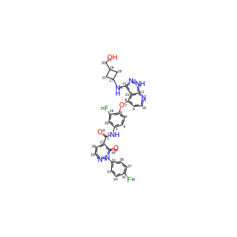 O=C(Nc1ccc(Oc2ccnc3[nH]nc(NC4CC(CO)C4)c23)c(F)c1)c1ccnn(-c2ccc(F)cc2)c1=O